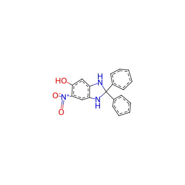 O=[N+]([O-])c1cc2c(cc1O)NC(c1ccccc1)(c1ccccc1)N2